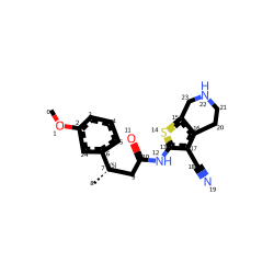 COc1cccc([C@@H](C)CC(=O)Nc2sc3c(c2C#N)CCNC3)c1